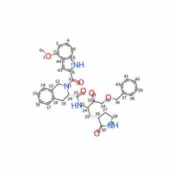 COc1cccc2[nH]c(C(=O)N3Cc4ccccc4C[C@H]3C(=O)NC(C[C@@H]3CCNC3=O)C(=O)COCc3ccccc3)cc12